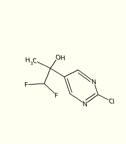 CC(O)(c1cnc(Cl)nc1)C(F)F